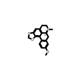 COc1ccc2c(c1)C[C@H]1c3c(cc4c(c3-2)OCO4)CCN1C